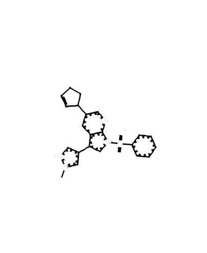 Cn1cc(-c2cn(S(=O)(=O)c3ccccc3)c3ncc(C4C=CCC4)cc23)cn1